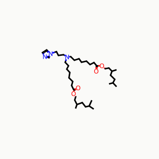 CC(C)CCC(C)CCOC(=O)CCCCCCCN(CCCCCCCC(=O)OCCC(C)CCC(C)C)CCCn1ccnc1